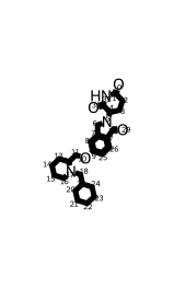 O=C1CCC(N2Cc3cc(OCC4CCCCN4CC4CCCCC4)ccc3C2=O)C(=O)N1